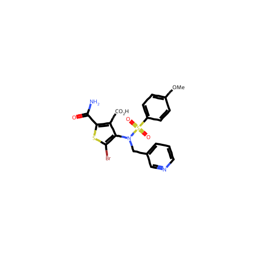 COc1ccc(S(=O)(=O)N(Cc2cccnc2)c2c(Br)sc(C(N)=O)c2C(=O)O)cc1